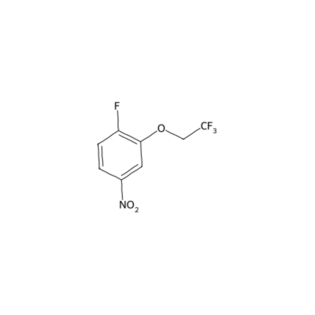 O=[N+]([O-])c1ccc(F)c(OCC(F)(F)F)c1